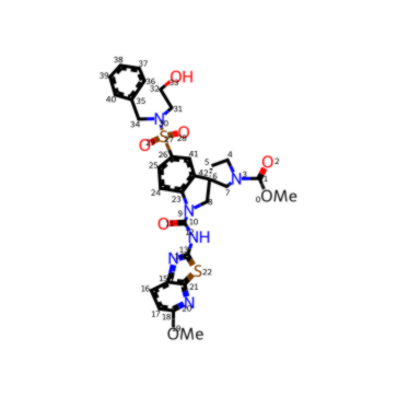 COC(=O)N1CC[C@]2(C1)CN(C(=O)Nc1nc3ccc(OC)nc3s1)c1ccc(S(=O)(=O)N(CCO)Cc3ccccc3)cc12